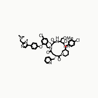 COCC1NC(=O)[C@H](C)N(Cc2ccc(Cl)cc2Oc2ccc(-c3cnc(CN(C)C)n3C)cc2)C(=O)C[C@@H](Cc2ccccn2)C(=O)N2CCCC(Cc3ccc(Cl)cc3)(C2)NC1=O